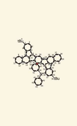 CC(C)(C)c1ccc2c(c1)c1c3ccccc3cc3c4nc5c(cc4n2c31)c1cc2ccccc2c2c3cc(C(C)(C)C)cc(N(c4ccccc4)c4ccccc4)c3n5c12